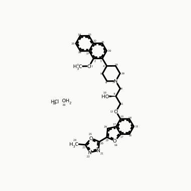 COc1c(C2CCN(C[C@H](O)COc3cccc4oc(-c5nnc(C)o5)cc34)CC2)ccc2ccccc12.Cl.O